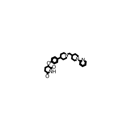 O=C1CCC(Oc2ccc(C3CCN(CC4CCN(c5ccccn5)CC4)CC3)cc2)C(=O)N1